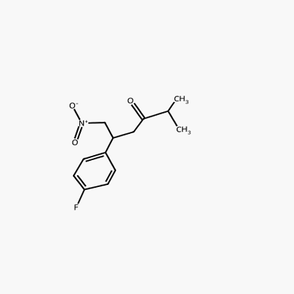 CC(C)C(=O)CC(C[N+](=O)[O-])c1ccc(F)cc1